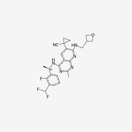 Cc1nc(N[C@H](C)c2cccc(C(F)F)c2F)c2cc(C3(C#N)CC3)c(NCC3COC3)nc2n1